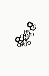 O=C(NCC(NC(=O)c1c(Cl)cccc1Cl)C(=O)O)NC1CCOc2ccccc21